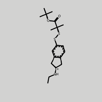 CCN[C@@H]1Cc2ccc(SSC(C)(C)C(=O)OC(C)(C)C)cc2C1